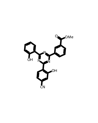 COC(=O)c1cccc(-c2nc(-c3ccccc3O)nc(-c3ccc(C#N)cc3O)n2)c1